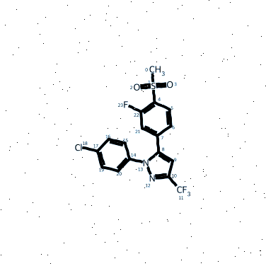 CS(=O)(=O)c1ccc(-c2cc(C(F)(F)F)nn2-c2ccc(Cl)cc2)cc1F